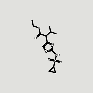 CCOC(=O)C(c1csc(NS(=O)(=O)C2CC2)n1)C(C)C